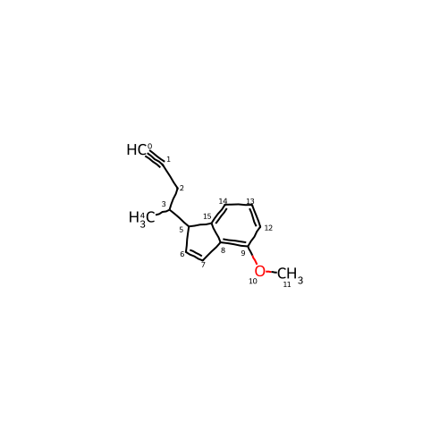 C#CCC(C)C1C=Cc2c(OC)cccc21